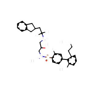 CCc1cc(-c2c(C)cccc2CCC(=O)O)ccc1S(=O)(=O)N(C)CC(O)CNC(C)(C)CC1Cc2ccccc2C1